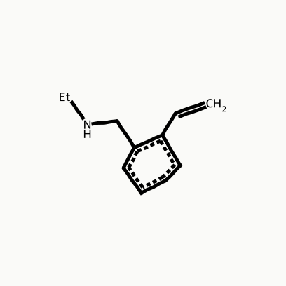 C=Cc1ccccc1CNCC